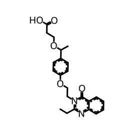 CCc1nc2ccccc2c(=O)n1CCOc1ccc(C(C)OCCC(=O)O)cc1